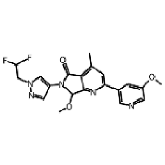 COc1cncc(-c2cc(C)c3c(n2)C(OC)N(c2cnn(CC(F)F)c2)C3=O)c1